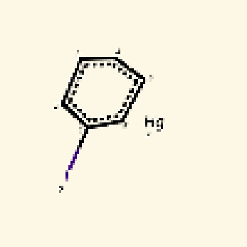 Ic1ccccc1.[Hg]